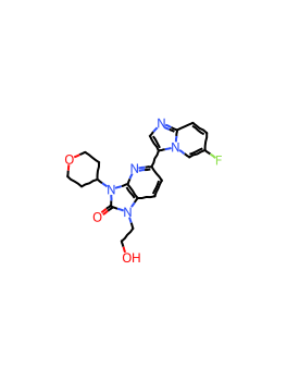 O=c1n(CCO)c2ccc(-c3cnc4ccc(F)cn34)nc2n1C1CCOCC1